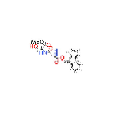 COC(=O)C(CO)NC(=O)CNC(=O)OCC1c2ccccc2-c2ccccc21